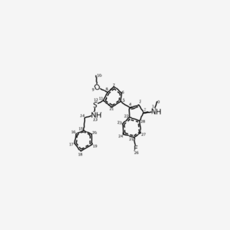 CNC1C=C(c2ccc(OC)c(SNCc3ccccc3)c2)c2ccc(F)cc21